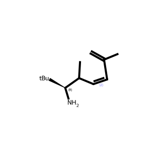 C=C(C)/C=C\C(C)[C@@H](N)C(C)(C)C